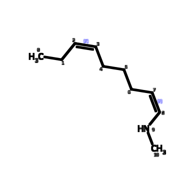 CC/C=C\CCC/C=C\NC